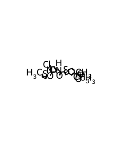 Cc1ccc(Oc2cc(NC(=O)c3cc4cc(C(C)(C)S(C)(=O)=O)ccc4s3)cc(Cl)n2)s1